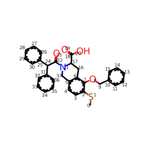 CSc1ccc2c(c1OCc1ccccc1)CC(C(=O)O)N(C(=O)C(c1ccccc1)c1ccccc1)C2